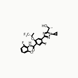 C[C@H](Oc1cc(-c2nc([C@@H](C)O)n(C3CC3)n2)c(F)cc1C(=O)Nc1c(F)cccc1Cl)C(F)(F)F